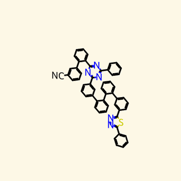 N#Cc1cccc(-c2ccccc2-c2nc(-c3ccccc3)nc(-c3cccc(-c4ccccc4-c4ccccc4-c4cccc(-c5nnc(-c6ccccc6)s5)c4)c3)n2)c1